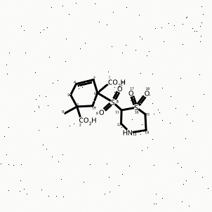 CC1(C(=O)O)CC=CC(C(=O)O)(S(=O)(=O)C2CNCCS2(=O)=O)C1